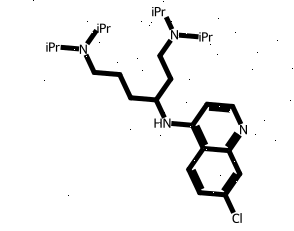 CC(C)N(CCCC(CCN(C(C)C)C(C)C)Nc1ccnc2cc(Cl)ccc12)C(C)C